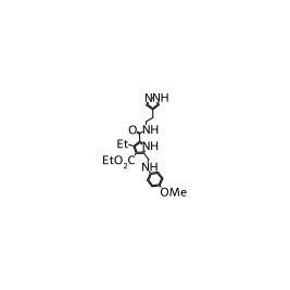 CCOC(=O)c1c(CNc2ccc(OC)cc2)[nH]c(C(=O)NCCc2cn[nH]c2)c1CC